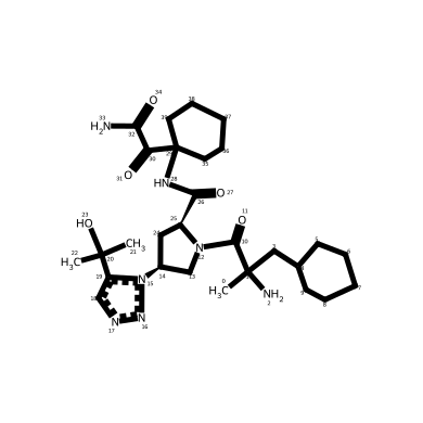 CC(N)(CC1CCCCC1)C(=O)N1C[C@@H](n2nncc2C(C)(C)O)C[C@H]1C(=O)NC1(C(=O)C(N)=O)CCCCC1